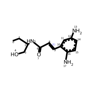 CCC(CO)NC(=O)/C=C/c1cc(N)ccc1N